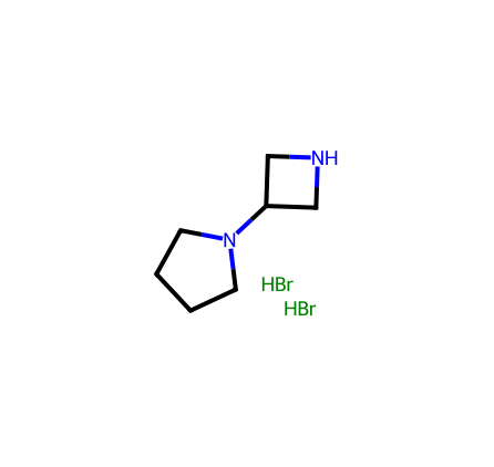 Br.Br.C1CCN(C2CNC2)C1